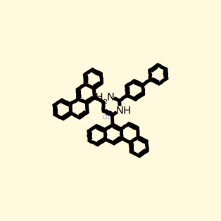 NC(N/C(=C\Cc1c2ccccc2cc2c1ccc1ccccc12)c1c2ccccc2cc2c1ccc1ccccc12)c1ccc(-c2ccccc2)cc1